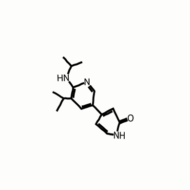 CC(C)Nc1ncc(-c2cc[nH]c(=O)c2)cc1C(C)C